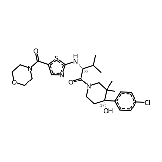 CC(C)[C@@H](Nc1ncc(C(=O)N2CCOCC2)s1)C(=O)N1CC[C@](O)(c2ccc(Cl)cc2)C(C)(C)C1